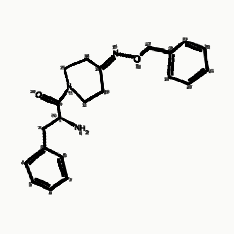 N[C@@H](Cc1ccccc1)C(=O)N1CCC(=NOCc2ccccc2)CC1